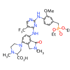 CCOP(=O)(Cc1ccc(Nc2ncc(C(F)(F)F)c(Nc3ccc(N4CCN(C)C(C(=O)O)C4)c4c3C(=O)N(C)C4)n2)c(OC)c1)OCC